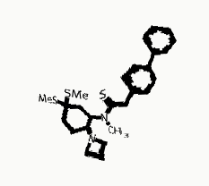 CSC1(SC)CCC(N2CCC2)C(N(C)C(=S)Cc2ccc(-c3ccccc3)cc2)C1